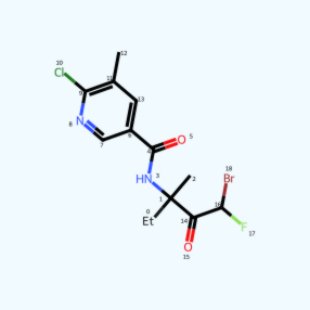 CCC(C)(NC(=O)c1cnc(Cl)c(C)c1)C(=O)C(F)Br